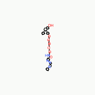 O=C(NCCOCCOCCOCCOCCOc1ccc([C@@H]2c3ccc(O)cc3CC[C@@H]2c2ccccc2)cc1)c1ccnc(N2CCC3(CCN(c4ccccc4)C3)C2)c1